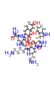 CC(=O)N[C@@H](Cc1c[nH]c2ccccc12)C(=O)N[C@@H](CCCCN)C(=O)N[C@@H](CCCCN)C(=O)N[C@@H](CCC(N)=O)C(=O)N[C@@H](Cc1ccc(O)cc1)C(=O)O